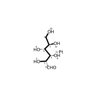 O=C[C@H](O)[C@@H](O)[C@H](O)[C@H](O)CO.[Pt]